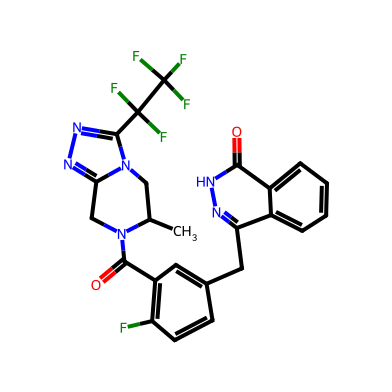 CC1Cn2c(nnc2C(F)(F)C(F)(F)F)CN1C(=O)c1cc(Cc2n[nH]c(=O)c3ccccc23)ccc1F